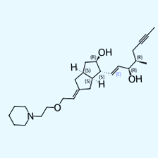 CC#CC[C@@H](C)[C@@H](O)/C=C/[C@@H]1[C@H]2CC(=CCOCCN3CCCCC3)C[C@H]2C[C@H]1O